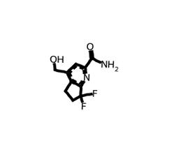 NC(=O)c1cc(CO)c2c(n1)C(F)(F)CC2